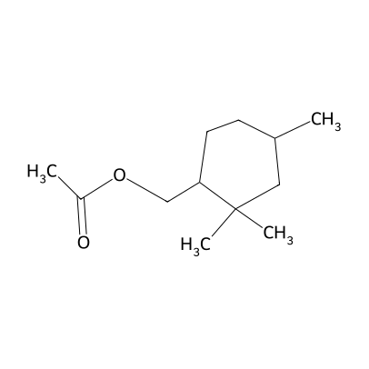 CC(=O)OCC1CCC(C)CC1(C)C